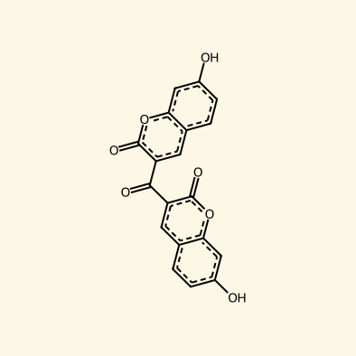 O=C(c1cc2ccc(O)cc2oc1=O)c1cc2ccc(O)cc2oc1=O